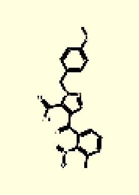 COc1ccc(Cn2nnc(C(=O)c3cccc(C)c3[N+](=O)[O-])c2C(=O)O)cc1